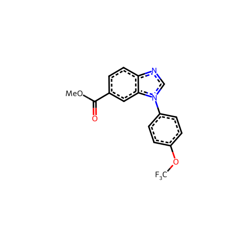 COC(=O)c1ccc2ncn(-c3ccc(OC(F)(F)F)cc3)c2c1